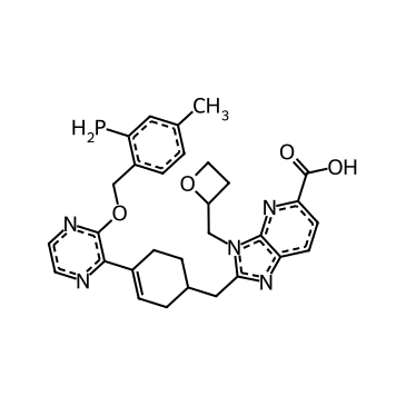 Cc1ccc(COc2nccnc2C2=CCC(Cc3nc4ccc(C(=O)O)nc4n3CC3CCO3)CC2)c(P)c1